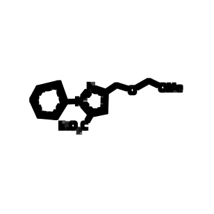 CCOC(=O)c1cc(COCOC)nn1-c1ccccc1